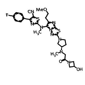 COCCc1nc2sc(N3CC[C@@H](N(C)CC(=O)N4CC(O)C4)C3)nn2c1N(C)c1nc(-c2ccc(F)cc2)c(C#N)s1